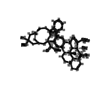 CCC1(O)CC2C[N@](CCc3c([nH]c4ccccc34)[C@@](C(=O)OC)(c3cc4c(cc3OC)N(C)C3[C@H]5C4CCN4CC=C[C@](CC)(C54)[C@@H](O)[C@]3(O)C(=O)OC)C2)C1